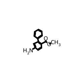 COC(=O)c1ccc(N)cc1-c1ccccc1